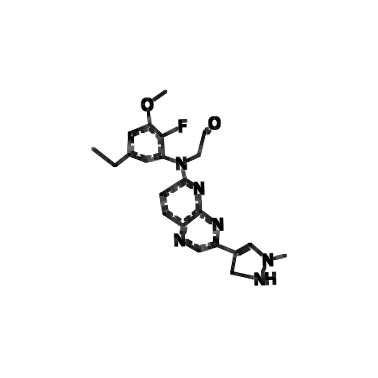 CCc1cc(OC)c(F)c(N(CC=O)c2ccc3ncc(C4=CN(C)NC4)nc3n2)c1